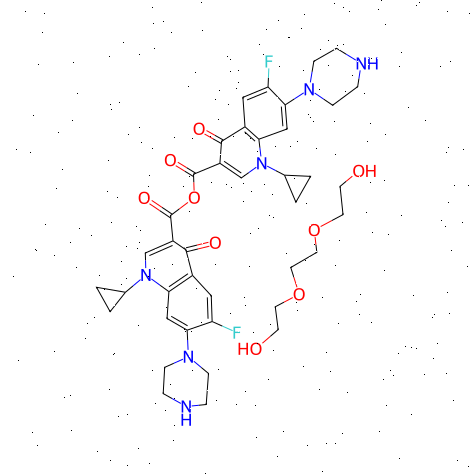 O=C(OC(=O)c1cn(C2CC2)c2cc(N3CCNCC3)c(F)cc2c1=O)c1cn(C2CC2)c2cc(N3CCNCC3)c(F)cc2c1=O.OCCOCCOCCO